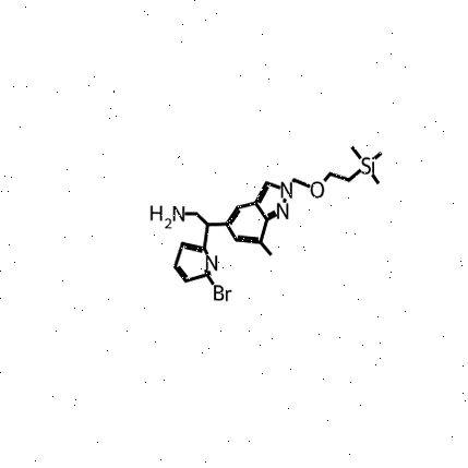 Cc1cc(C(CN)c2cccc(Br)n2)cc2cn(COCC[Si](C)(C)C)nc12